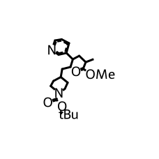 COC(=O)C(C)CC(CCC1CCN(C(=O)OC(C)(C)C)CC1)c1cccnc1